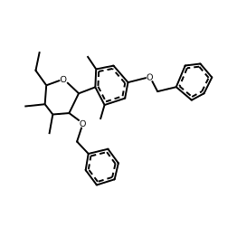 CCC1OC(c2c(C)cc(OCc3ccccc3)cc2C)C(OCc2ccccc2)C(C)C1C